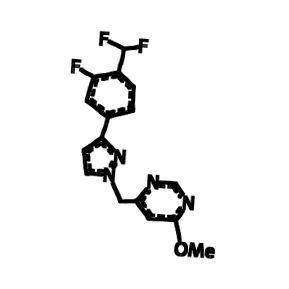 COc1cc(Cn2ccc(-c3ccc(C(F)F)c(F)c3)n2)ncn1